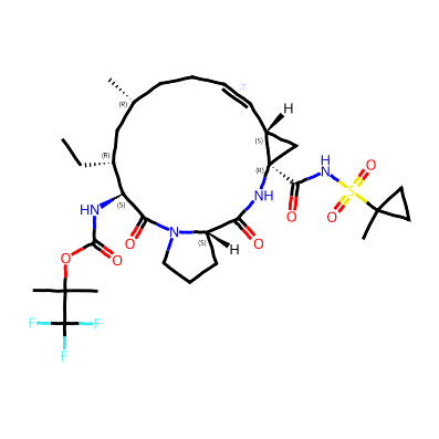 CC[C@@H]1C[C@H](C)CC/C=C\[C@@H]2C[C@@]2(C(=O)NS(=O)(=O)C2(C)CC2)NC(=O)[C@@H]2CCCN2C(=O)[C@H]1NC(=O)OC(C)(C)C(F)(F)F